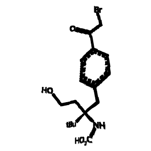 CC(C)(C)[C@@](CCO)(Cc1ccc(C(=O)CBr)cc1)NC(=O)O